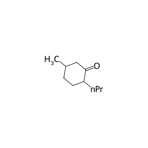 CCCC1CCC(C)CC1=O